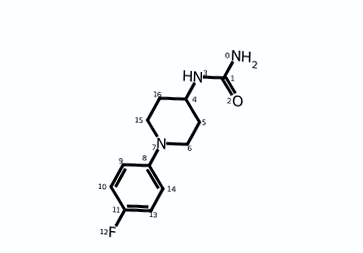 NC(=O)NC1CCN(c2ccc(F)cc2)CC1